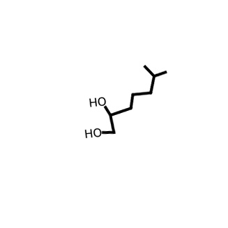 CC(C)CCCC(O)CO